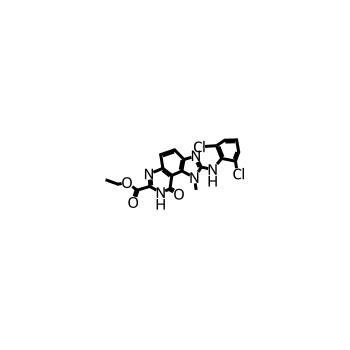 CCOC(=O)c1nc2ccc3nc(Nc4c(Cl)cccc4Cl)n(C)c3c2c(=O)[nH]1